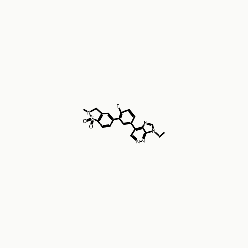 CCn1cnc2c(-c3ccc(F)c(-c4ccc5c(c4)CN(C)S5(=O)=O)c3)cnnc21